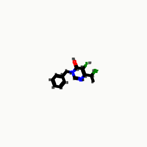 CC(Br)c1ncn(Cc2ccccc2)c(=O)c1F